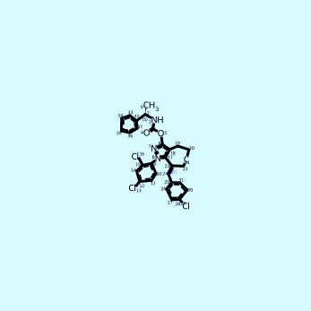 C[C@H](NC(=O)Oc1nn(-c2ccc(Cl)cc2Cl)c2c1CCCC/C2=C\c1ccc(Cl)cc1)c1ccccc1